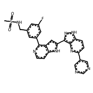 CS(=O)(=O)NCc1cc(F)cc(-c2nccc3[nH]c(-c4n[nH]c5ccc(-c6cncnc6)nc45)cc23)c1